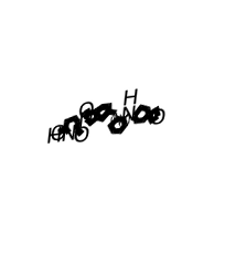 O=C1CCC(N2Cc3cc(C[C@H]4CCCC[C@@H]4NC4CCC5(CC4)COC5)ccc3C2=O)C(=O)N1